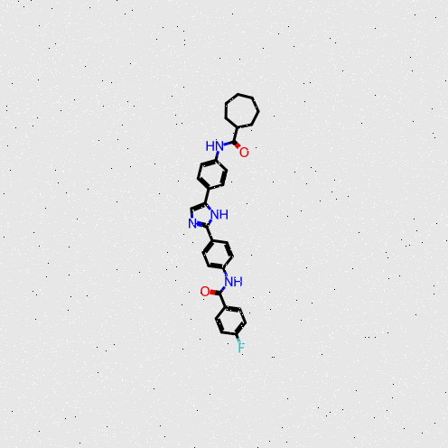 O=C(Nc1ccc(-c2ncc(-c3ccc(NC(=O)C4CCCCCC4)cc3)[nH]2)cc1)c1ccc(F)cc1